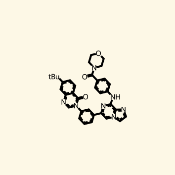 CC(C)(C)c1ccc2c(=O)n(-c3cccc(-c4cn5ccnc5c(Nc5ccc(C(=O)N6CCOCC6)cc5)n4)c3)cnc2c1